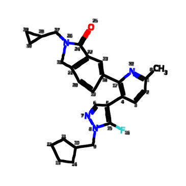 Cc1ccc(-c2cnn(CC3CCCC3)c2F)c(-c2ccc3c(c2)C(=O)N(CC2CC2)C3)n1